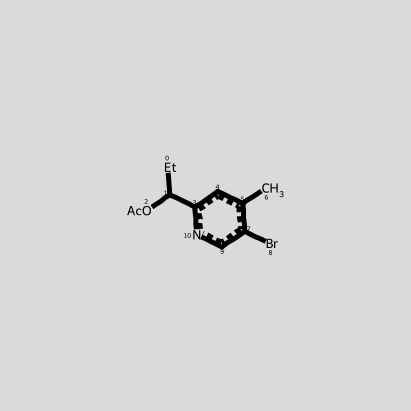 CCC(OC(C)=O)c1cc(C)c(Br)cn1